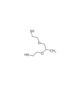 CC(COCCS)OCCS